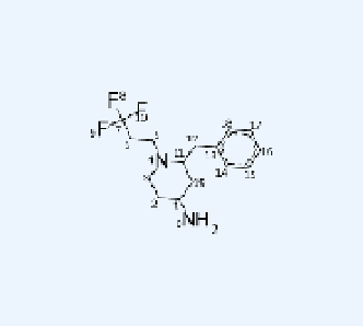 NC1CCN(CCC(F)(F)F)C(Cc2ccccc2)C1